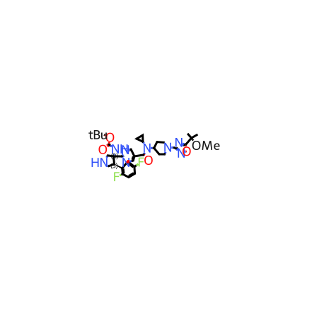 COC(C)(C)c1nc(N2CCC(N(C(=O)c3cnc([C@]4(NC(=O)OC(C)(C)C)CNC[C@@H]4c4cc(F)ccc4F)nc3)C3CC3)CC2)no1